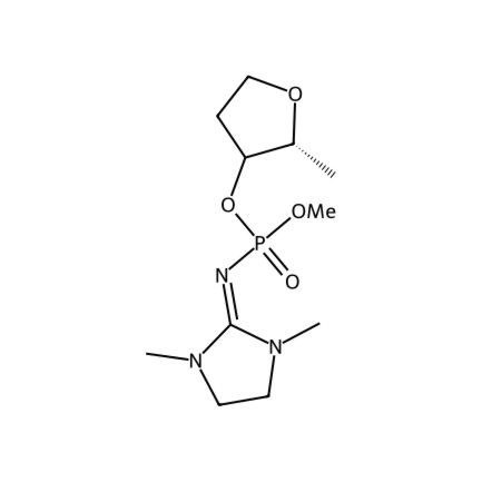 COP(=O)(N=C1N(C)CCN1C)OC1CCO[C@@H]1C